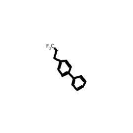 FC(F)(F)[CH]Cc1ccc(-c2ccccc2)cc1